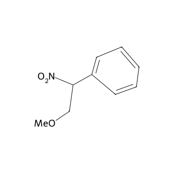 COCC(c1ccccc1)[N+](=O)[O-]